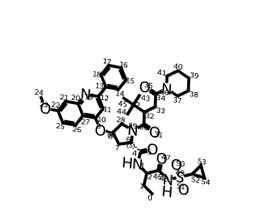 CCC(NC(=O)[C@@H]1C[C@@H](Oc2cc(-c3ccccc3)nc3cc(OC)ccc23)CN1C(=O)C(CC(=O)N1CCCCC1)C(C)(C)C)C(=O)NS(=O)(=O)C1CC1